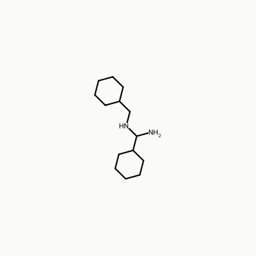 NC(NCC1CCCCC1)C1CCCCC1